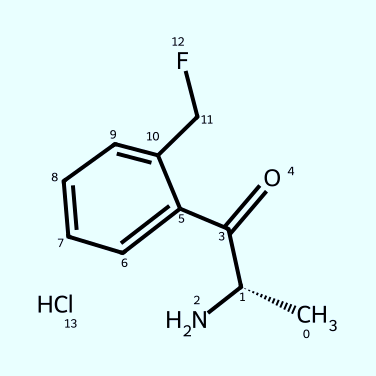 C[C@H](N)C(=O)c1ccccc1CF.Cl